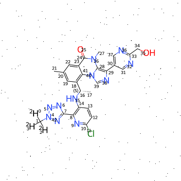 [2H]C([2H])([2H])n1nnc(-c2nc(Cl)ccc2N[C@@H](C)c2cc(C)cc3c(=O)n(C)c4c(-c5cnc(CO)nc5)ncn4c23)n1